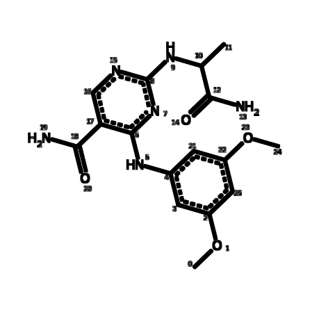 COc1cc(Nc2nc(NC(C)C(N)=O)ncc2C(N)=O)cc(OC)c1